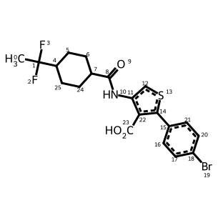 CC(F)(F)C1CCC(C(=O)Nc2csc(-c3ccc(Br)cc3)c2C(=O)O)CC1